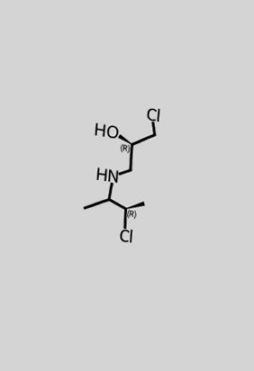 CC(NC[C@@H](O)CCl)[C@@H](C)Cl